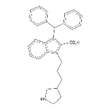 O=C(O)c1c(C(c2ccccc2)c2ccccc2)c2ccccc2n1CCCC1CCNC1